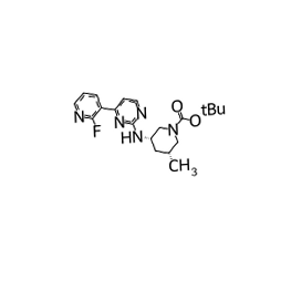 C[C@@H]1C[C@H](Nc2nccc(-c3cccnc3F)n2)CN(C(=O)OC(C)(C)C)C1